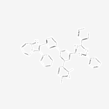 C/C=C\C(=C/C)c1nc(-c2ccccc2)nc(-c2cc(-c3cccc(-c4nc5ccccn5c4-c4ccccc4)c3)cc(-c3ccc(C)nc3C)c2)n1